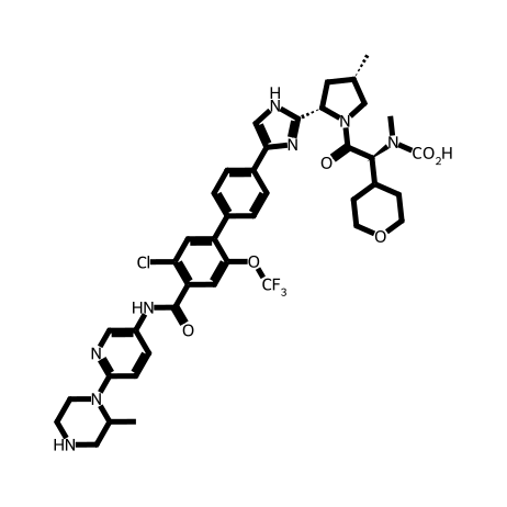 CC1CNCCN1c1ccc(NC(=O)c2cc(OC(F)(F)F)c(-c3ccc(-c4c[nH]c([C@@H]5C[C@H](C)CN5C(=O)[C@H](C5CCOCC5)N(C)C(=O)O)n4)cc3)cc2Cl)cn1